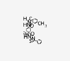 [2H]C1(C(=O)Nc2nc(-c3ccccc3)cs2)C=CC(NS(=O)(=O)c2cc(C)ccc2C)=CC1